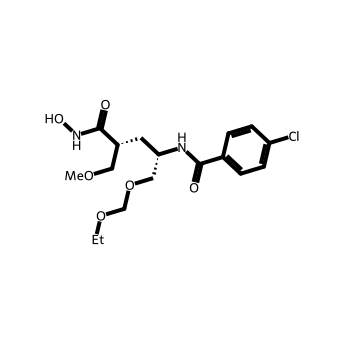 CCOCOC[C@H](C[C@H](COC)C(=O)NO)NC(=O)c1ccc(Cl)cc1